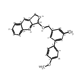 COc1ccc(-c2cc(C)cc(COC3OCc4cc5ccccc5nc43)c2)cc1